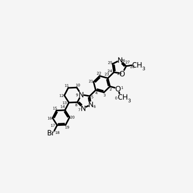 COc1cc(-c2nnc3n2CCCC3c2ccc(Br)cc2)ccc1-c1cnc(C)o1